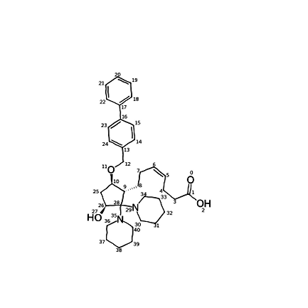 O=C(O)CC/C=C\CC[C@H]1[C@H](OCc2ccc(-c3ccccc3)cc2)C[C@H](O)C1(N1CCCCC1)N1CCCCC1